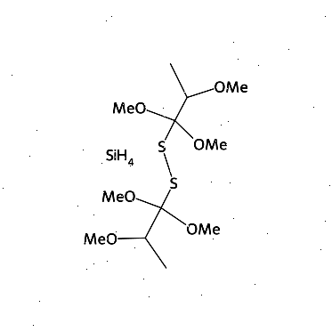 COC(C)C(OC)(OC)SSC(OC)(OC)C(C)OC.[SiH4]